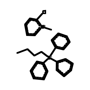 CCCC[B-](c1ccccc1)(c1ccccc1)c1ccccc1.C[n+]1ccccc1Cl